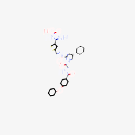 N=C(NC(=O)O)c1csc(CNC(=O)[C@@H]2C[C@@H](C3CCCCC3)CN2C(=O)CNC(=O)c2ccc(Oc3ccccc3)cc2)c1